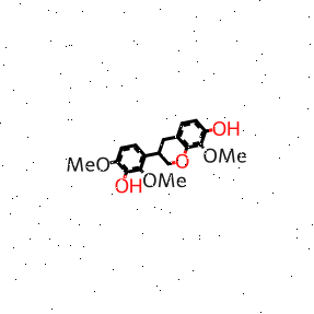 COc1ccc(C2COc3c(ccc(O)c3OC)C2)c(OC)c1O